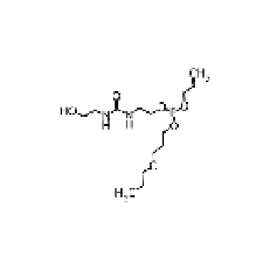 C=CCOP(OCCCOCCC)OCCNC(=O)NCCO